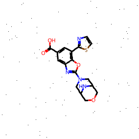 O=C(O)c1cc(-c2nccs2)c2oc(N3CC4COCC(C3)N4)nc2c1